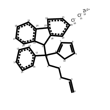 C=CCCCC(C1=CC=CC1)(c1ccccc1)C1c2ccccc2-c2ccccc21.[Cl-].[Cl-].[Zr+2]